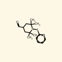 CC1(C)CC(C=O)CC(C)(C)N1Sc1ccccn1